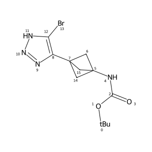 CC(C)(C)OC(=O)NC12CC(c3nn[nH]c3Br)(C1)C2